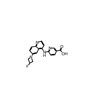 O=C(O)c1ccc(Nc2ccnc3ccc(N4CC(F)C4)cc23)nc1